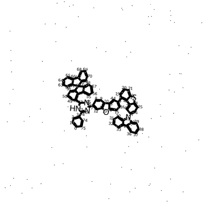 c1ccc(C2=NC(c3ccc4c(c3)oc3ccc(-c5cccc6sc7ccc(-n8c9ccccc9c9ccccc98)cc7c56)cc34)=NC(c3cccc4c3-c3ccccc3C43c4ccccc4-c4ccccc43)N2)cc1